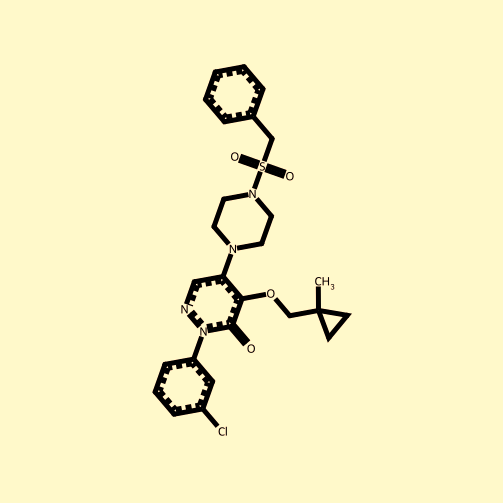 CC1(COc2c(N3CCN(S(=O)(=O)Cc4ccccc4)CC3)cnn(-c3cccc(Cl)c3)c2=O)CC1